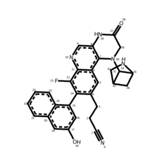 N#CCCc1cc2c3c(cnc2c(F)c1-c1cc(O)cc2ccccc12)NC(=O)CN3C1C2CNC1C2